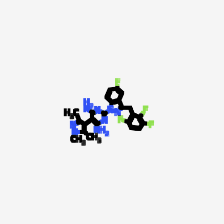 Cc1nn(C)c(C)c1-c1c(N)nc(-n2nc(Cc3c(F)ccc(F)c3F)c3cc(F)ccc32)nc1N